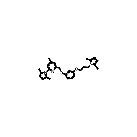 Cc1cc(COc2cccc(OCCCn3c(C)ccc3C)c2)nc(-n2c(C)ccc2C)c1